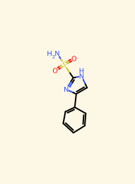 NS(=O)(=O)c1nc(-c2ccccc2)c[nH]1